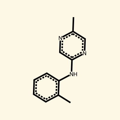 Cc1cnc(Nc2ccccc2C)cn1